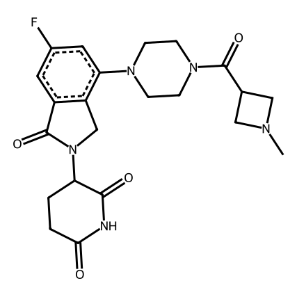 CN1CC(C(=O)N2CCN(c3cc(F)cc4c3CN(C3CCC(=O)NC3=O)C4=O)CC2)C1